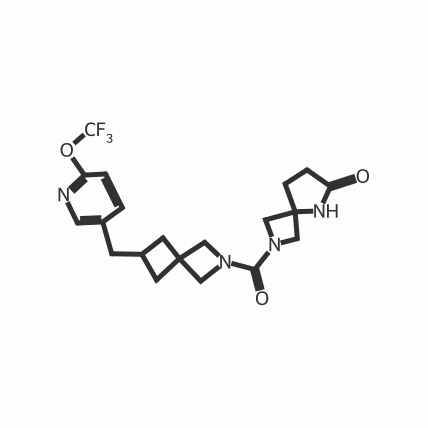 O=C1CCC2(CN(C(=O)N3CC4(CC(Cc5ccc(OC(F)(F)F)nc5)C4)C3)C2)N1